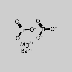 [Ba+2].[Mg+2].[O]=[Ti]([O-])[O-].[O]=[Ti]([O-])[O-]